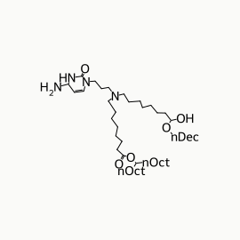 CCCCCCCCCCOC(O)CCCCCCCN(CCCCCCCC(=O)OC(CCCCCCCC)CCCCCCCC)CCCN1C=CC(N)NC1=O